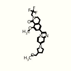 COCC1CCN(c2ccn3c(-c4cc5c(c(OC)c4)C(=O)N(CC(F)(F)F)CC5)cnc3c2)C1